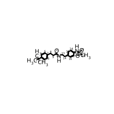 CC(C)(C)c1ccc(CCC(=O)NCCc2ccc(NS(C)(=O)=O)cc2)cc1